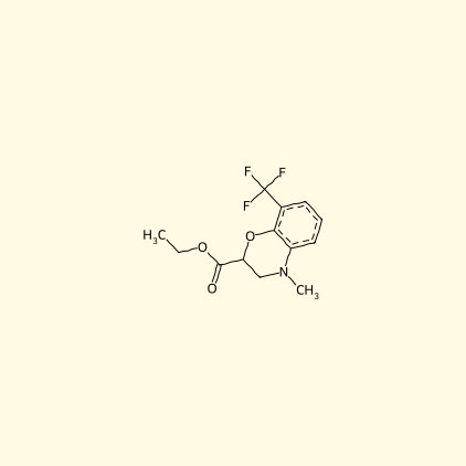 CCOC(=O)C1CN(C)c2cccc(C(F)(F)F)c2O1